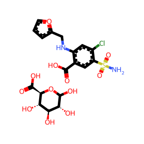 NS(=O)(=O)c1cc(C(=O)O)c(NCc2ccco2)cc1Cl.O=C(O)[C@H]1OC(O)[C@H](O)[C@@H](O)[C@@H]1O